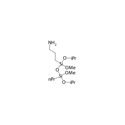 CCC[Si](OC)(OC(C)C)O[Si](CCCN)(OC)OC(C)C